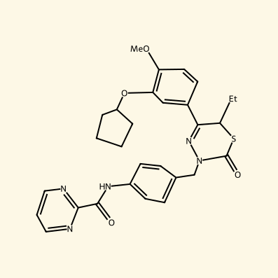 CCC1SC(=O)N(Cc2ccc(NC(=O)c3ncccn3)cc2)N=C1c1ccc(OC)c(OC2CCCC2)c1